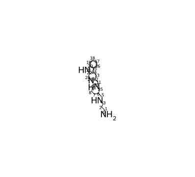 NCCCNCC1CCCN(CC2CC3c4ccccc4NC3CN2)C1